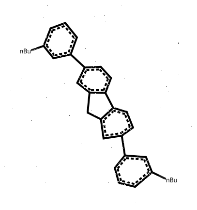 CCCCc1cccc(-c2ccc3c(c2)Cc2cc(-c4cccc(CCCC)c4)ccc2-3)c1